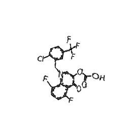 O=C(O)Oc1cn(Cc2cc(C(F)(F)F)ccc2Cl)c2c(F)ccc(F)c2c1=O